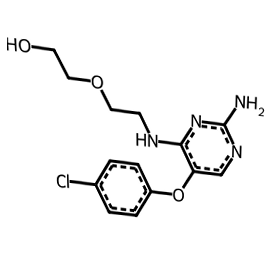 Nc1ncc(Oc2ccc(Cl)cc2)c(NCCOCCO)n1